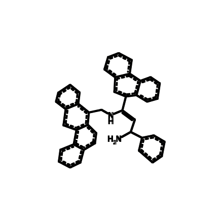 NC(/C=C(\NCc1c2ccccc2cc2c1ccc1ccccc12)c1cc2ccccc2c2ccccc12)c1ccccc1